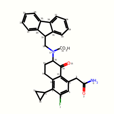 NC(=O)Cc1cc(F)c(C2CC2)c2c1C(=O)C(N(CC1c3ccccc3-c3ccccc31)C(=O)O)CC2